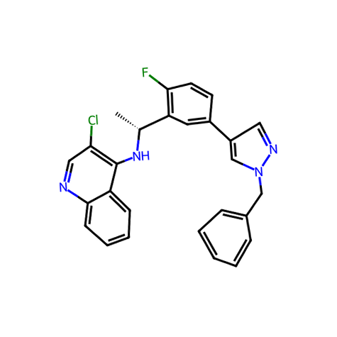 C[C@@H](Nc1c(Cl)cnc2ccccc12)c1cc(-c2cnn(Cc3ccccc3)c2)ccc1F